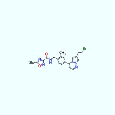 Cc1cc(-c2ccnn3cc(CCBr)cc23)ccc1CNC(=O)c1noc(C(C)(C)C)n1